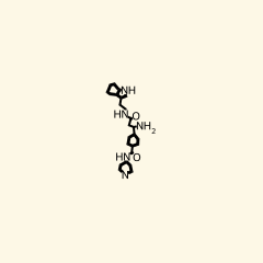 NC(CC(=O)NCCc1c[nH]c2ccccc12)c1ccc(C(=O)Nc2ccncc2)cc1